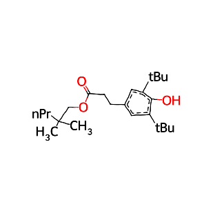 CCCC(C)(C)COC(=O)CCc1cc(C(C)(C)C)c(O)c(C(C)(C)C)c1